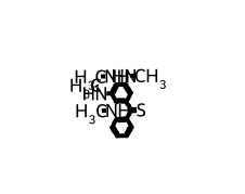 CNc1cc(C(=S)c2ccccc2)c(NC)c(NC)c1NC